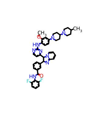 COc1cc(N2CCC(N3CCC(C)CC3)CC2)ccc1Nc1nccc(C2C(c3cccc(C(=O)Nc4c(F)cccc4F)c3)N=C3C=CC=CN32)n1